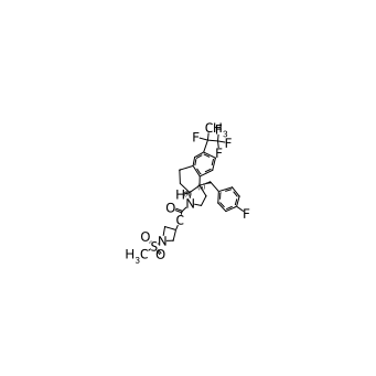 CC(F)(c1ccc2c(c1)CC[C@H]1N(C(=O)CC3CN(S(C)(=O)=O)C3)CC[C@@]21Cc1ccc(F)cc1)C(F)(F)F